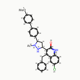 COc1ccc(-c2ccc(C3CC(c4c(Cc5ccccc5)c5cc(Cl)ccc5[nH]c4=O)NN3C(C)=O)cc2)cc1